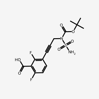 CC(C)(C)OC(=O)N(CC#Cc1ccc(F)c(C(=O)O)c1F)S(N)(=O)=O